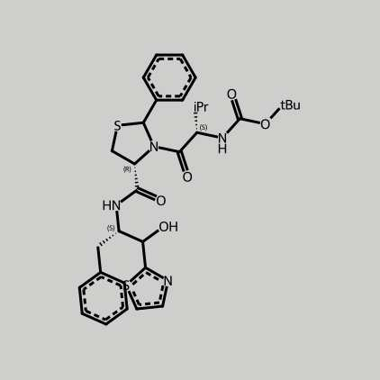 CC(C)[C@H](NC(=O)OC(C)(C)C)C(=O)N1C(c2ccccc2)SC[C@H]1C(=O)N[C@@H](Cc1ccccc1)C(O)c1nccs1